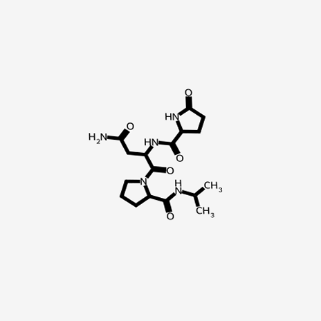 CC(C)NC(=O)C1CCCN1C(=O)C(CC(N)=O)NC(=O)C1CCC(=O)N1